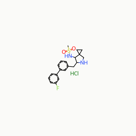 CS(=O)(=O)NC1C(Cc2cccc(-c3cccc(F)c3)c2)NCC12CC2.Cl